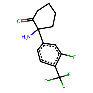 NC1(c2ccc(C(F)(F)F)c(F)c2)CCCCC1=O